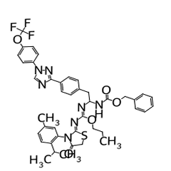 CCCOC(=N\C(Cc1ccc(-c2ncn(-c3ccc(OC(F)(F)F)cc3)n2)cc1)NC(=O)OCc1ccccc1)/N=C1\SCC(=O)N1c1cc(C)ccc1C(C)C